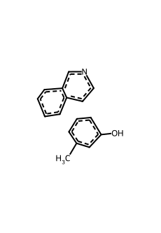 Cc1cccc(O)c1.c1ccc2cnccc2c1